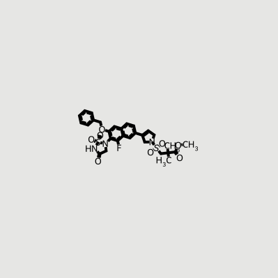 COC(=O)C(C)(C)CS(=O)(=O)N1CC=C(c2ccc3cc(OCc4ccccc4)c(N4CC(=O)NS4(=O)=O)c(F)c3c2)C1